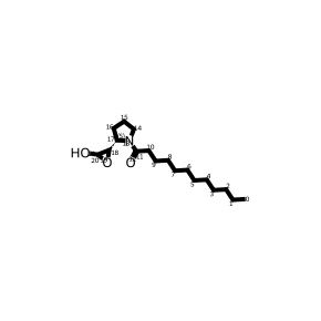 CCCCCCCCCCCC(=O)N1CCC[C@H]1C1OC1O